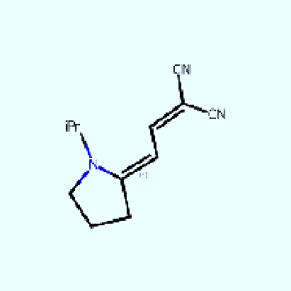 CC(C)N1CCC/C1=C/C=C(C#N)C#N